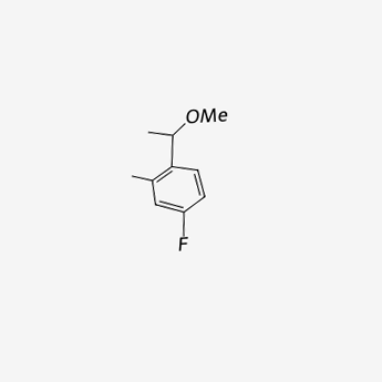 COC(C)c1ccc(F)cc1C